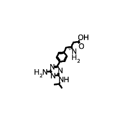 CC(C)Nc1nc(N)nc(-c2ccc(C[C@H](N)CC(=O)O)cc2)n1